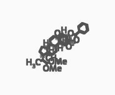 COC(OC)C(C)[C@H]1CC[C@H]2[C@@H]3C=C[C@@]45O[C@@H]4[C@@H](OC(=O)c4ccccc4)[C@@H]4O[C@@H]4[C@]5(C)[C@H]3CC[C@]12C